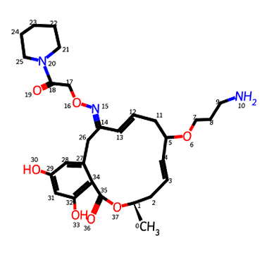 C[C@@H]1C/C=C/C(OCCCN)C/C=C/C(=N/OCC(=O)N2CCCCC2)Cc2cc(O)cc(O)c2C(=O)O1